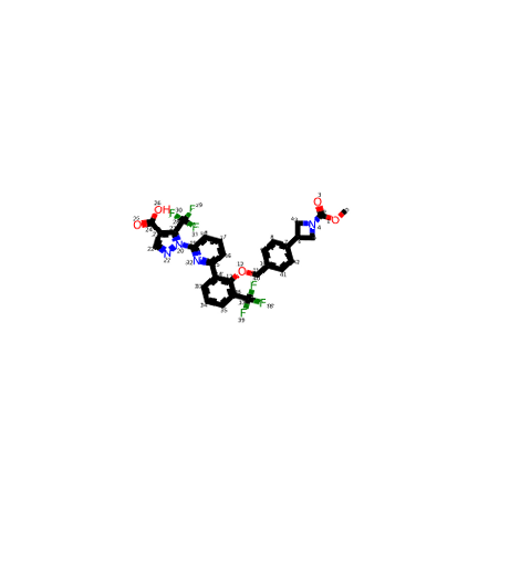 COC(=O)N1CC(c2ccc(COc3c(-c4cccc(-n5ncc(C(=O)O)c5C(F)(F)F)n4)cccc3C(F)(F)F)cc2)C1